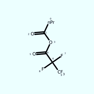 CCCC(=O)OC(=O)C(F)(F)C(F)(F)F